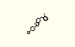 Fc1ccccc1CN1CCc2nc(N3CCN(C4CCC4)CC3)ncc2C1